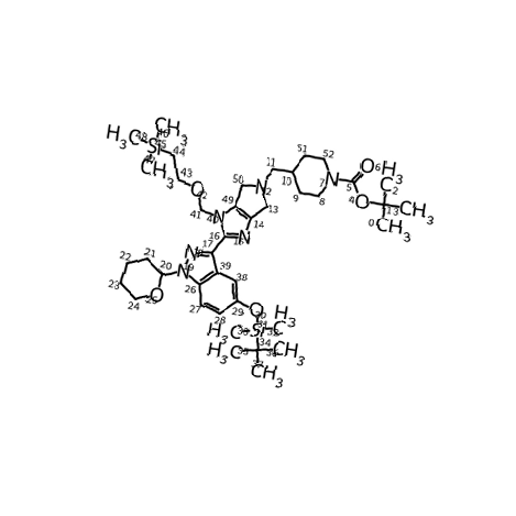 CC(C)(C)OC(=O)N1CCC(CN2Cc3nc(-c4nn(C5CCCCO5)c5ccc(O[Si](C)(C)C(C)(C)C)cc45)n(COCC[Si](C)(C)C)c3C2)CC1